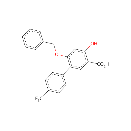 O=C(O)c1cc(-c2ccc(C(F)(F)F)cc2)c(OCc2ccccc2)cc1O